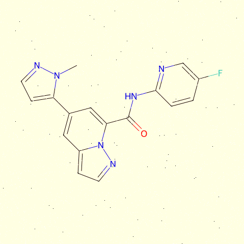 Cn1nccc1-c1cc(C(=O)Nc2ccc(F)cn2)n2nccc2c1